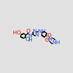 O=C(Nc1cnc(Nc2ccc(S(=O)(=O)N3CCNCC3)cc2)nc1)c1cc(O)ccc1Cl